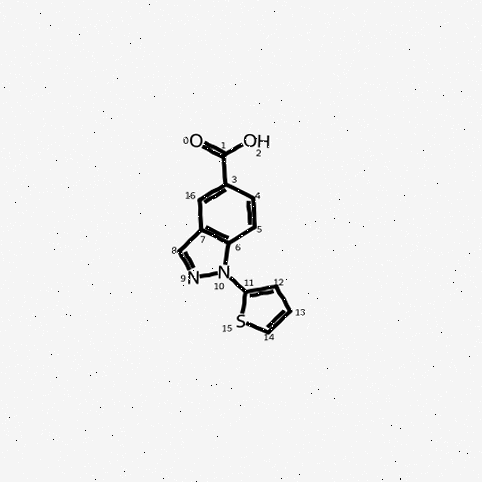 O=C(O)c1ccc2c(cnn2-c2cccs2)c1